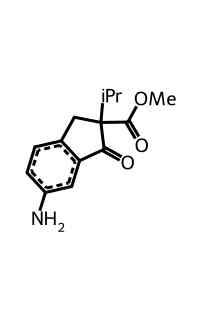 COC(=O)C1(C(C)C)Cc2ccc(N)cc2C1=O